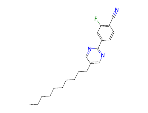 CCCCCCCCCCc1cnc(-c2ccc(C#N)c(F)c2)nc1